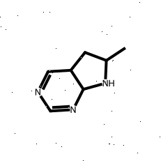 CC1CC2C=NC=NC2N1